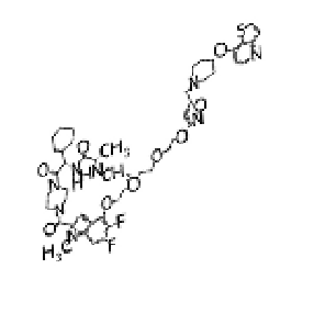 CN[C@@H](C)C(=O)N[C@H](C(=O)N1CCN(C(=O)c2cc3c(OCCOCCOCCOc4cc(CN5CCC(Oc6ccnc7ccsc67)CC5)on4)c(F)c(F)cc3n2C)CC1)C1CCCCC1